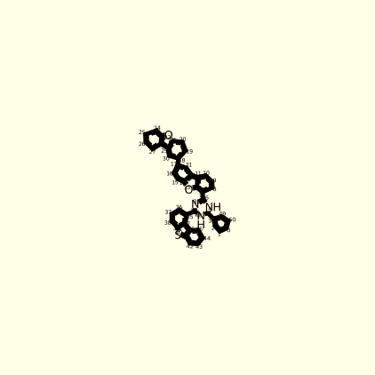 c1ccc(C2NC(c3cccc4c3oc3ccc(-c5ccc6oc7ccccc7c6c5)cc34)=NC(c3cccc4sc5ccccc5c34)N2)cc1